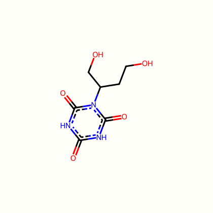 O=c1[nH]c(=O)n(C(CO)CCO)c(=O)[nH]1